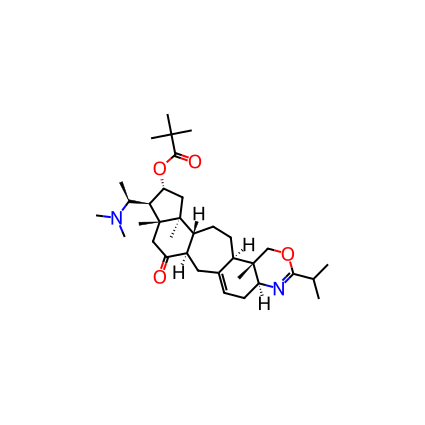 CC(C)C1=N[C@H]2CC=C3C[C@H]4C(=O)C[C@]5(C)[C@@H]([C@H](C)N(C)C)[C@H](OC(=O)C(C)(C)C)C[C@@]5(C)[C@@H]4CC[C@H]3[C@]2(C)CO1